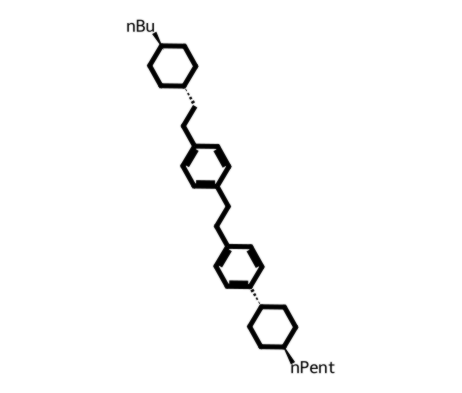 CCCCC[C@H]1CC[C@H](c2ccc(CCc3ccc(CC[C@H]4CC[C@H](CCCC)CC4)cc3)cc2)CC1